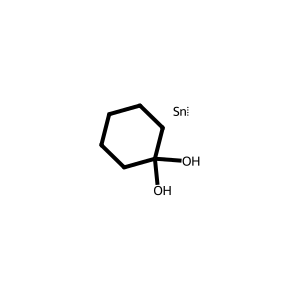 OC1(O)CCCCC1.[Sn]